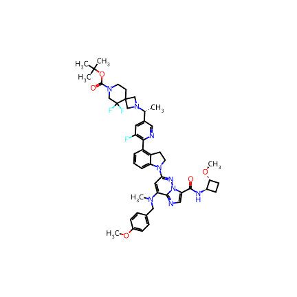 COc1ccc(CN(C)c2cc(N3CCc4c(-c5ncc([C@@H](C)N6CC7(CCN(C(=O)OC(C)(C)C)CC7(F)F)C6)cc5F)cccc43)nn3c(C(=O)N[C@@H]4CC[C@H]4OC)cnc23)cc1